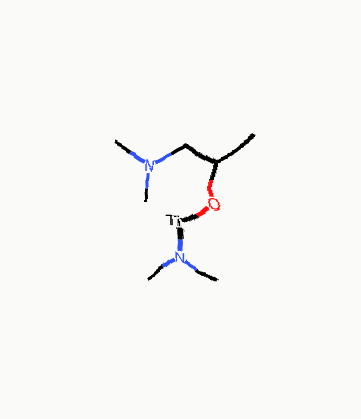 CC(CN(C)C)[O][Ti][N](C)C